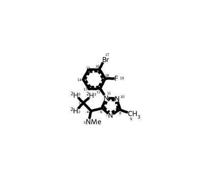 [2H]C([2H])([2H])C(NC)c1nc(C)nn1-c1cccc(Br)c1F